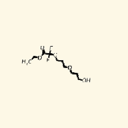 CCOC(=O)C(F)(F)OCCCOCCCO